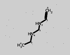 C=CNCNCC